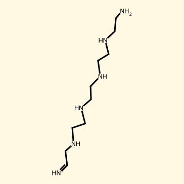 N=CCNCCNCCNCCNCCN